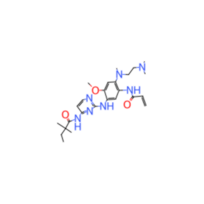 C=CC(=O)Nc1cc(Nc2nccc(NC(=O)C(C)(C)CC)n2)c(OC)cc1N(C)CCN(C)C